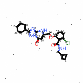 O=C(NCC1CCC1)c1c(Cl)cccc1OCc1cc(=O)n2nc(-c3ccccc3)nc2[nH]1